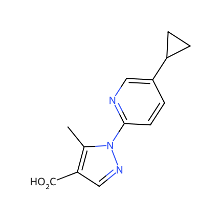 Cc1c(C(=O)O)cnn1-c1ccc(C2CC2)cn1